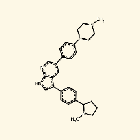 CN1CCN(c2ccc(-c3cnc4[nH]cc(-c5ccc(C6CCCN6C)cc5)c4c3)cc2)CC1